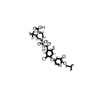 CC(C)COc1ncc(Oc2cc(F)c(C(=O)NS(=O)(=O)N3CCN(C(=O)O)C(C(C)(C)C)C3)cc2Cl)cc1Cl